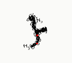 CC(=O)C1CCC(C(=O)OCOC(=O)C2CCC(C(=O)Oc3ccc(OC(=O)C4CCC(C(=O)OC(C)OC(=O)C5CCC(C(C)=O)CC5)CC4)c4nc(-c5ccc(-c6cccs6)cc5)sc34)CC2)CC1